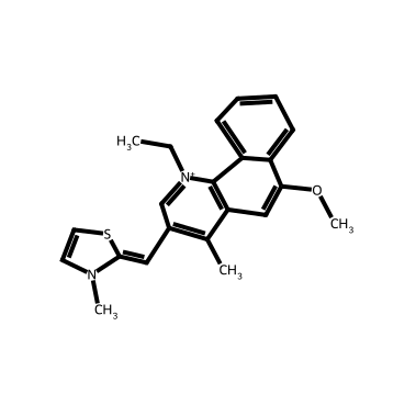 CC[n+]1cc(/C=C2\SC=CN2C)c(C)c2cc(OC)c3ccccc3c21